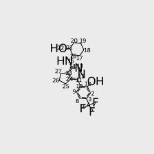 Oc1cc(C(F)(F)F)ccc1-c1nnc(NC2CCCCC2O)c2c1CCC2